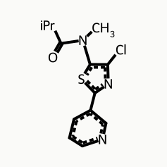 CC(C)C(=O)N(C)c1sc(-c2cccnc2)nc1Cl